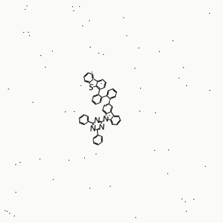 c1ccc(-c2nc(-c3ccccc3)nc(-n3c4ccccc4c4cc(-c5ccccc5-c5ccccc5-c5cccc6c5sc5ccccc56)ccc43)n2)cc1